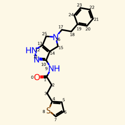 O=C(CCc1cccs1)Nc1n[nH]c2c1CN(CCc1ccccc1)C2